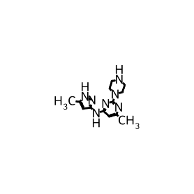 Cc1cc(Nc2cc(C)[nH]n2)nc(N2CCNCC2)n1